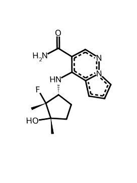 C[C@]1(O)CC[C@@H](Nc2c(C(N)=O)cnn3cccc23)[C@@]1(C)F